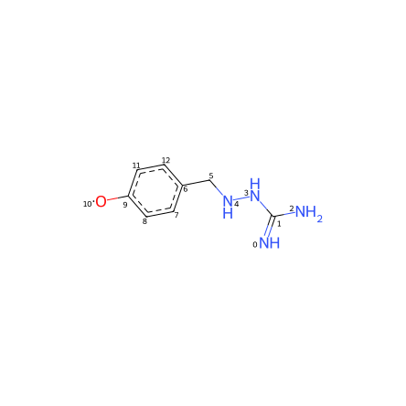 N=C(N)NNCc1ccc([O])cc1